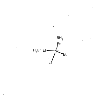 B.CC[N+](CC)(CC)CC.[BH4-]